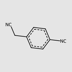 [C-]#[N+]c1ccc(CC#N)cc1